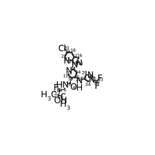 CC(C)(O)[C@H](F)CNC(=O)c1cnc(-n2ncc3cc(Cl)cnc32)cc1Nc1cnn(C(F)F)c1